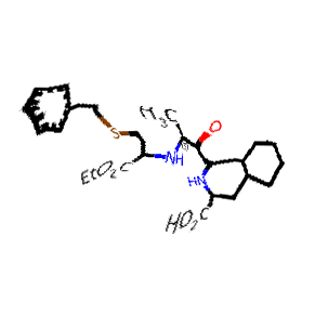 CCOC(=O)C(CSCc1ccccc1)N[C@@H](C)C(=O)C1NC(C(=O)O)CC2CCCCC21